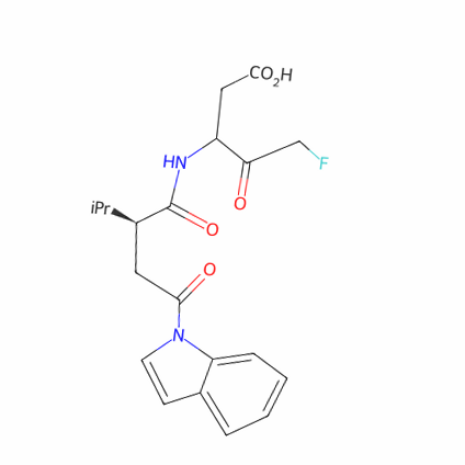 CC(C)[C@H](CC(=O)n1ccc2ccccc21)C(=O)NC(CC(=O)O)C(=O)CF